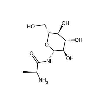 C[C@H](N)C(=O)N[C@@H]1O[C@H](CO)[C@@H](O)[C@H](O)[C@H]1O